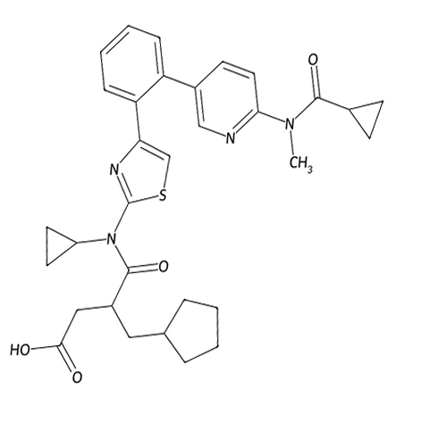 CN(C(=O)C1CC1)c1ccc(-c2ccccc2-c2csc(N(C(=O)C(CC(=O)O)CC3CCCC3)C3CC3)n2)cn1